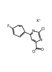 O=C([O-])c1cc(-c2ccc(F)cc2)nc(Cl)n1.[K+]